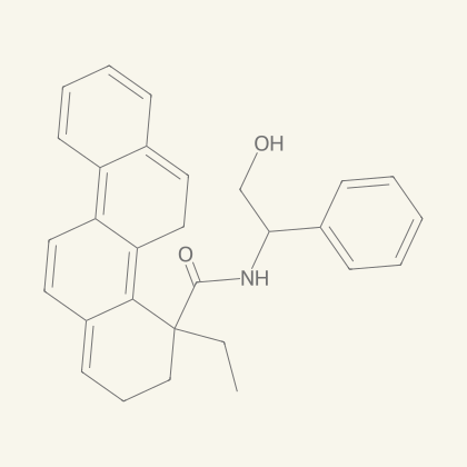 CCC1(C(=O)NC(CO)c2ccccc2)CCC=c2ccc3c(c21)CC=c1ccccc1=3